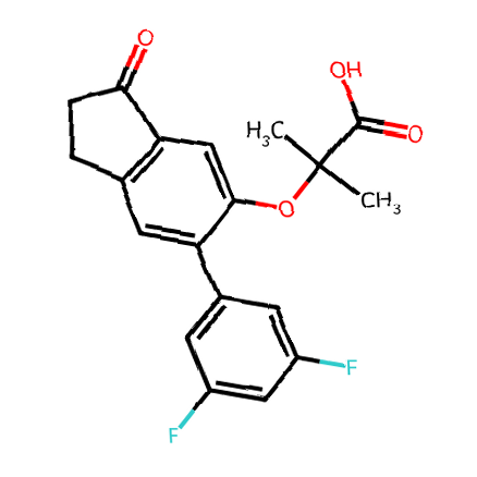 CC(C)(Oc1cc2c(cc1-c1cc(F)cc(F)c1)CCC2=O)C(=O)O